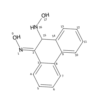 O/N=C1/c2ccccc2-c2ccccc2C1NO